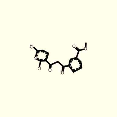 COC(=O)c1cccc(C(=O)CC(=O)c2ccc(Cl)nc2Cl)c1